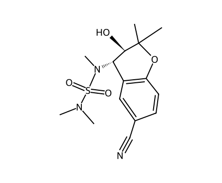 CN(C)S(=O)(=O)N(C)[C@H]1c2cc(C#N)ccc2OC(C)(C)[C@@H]1O